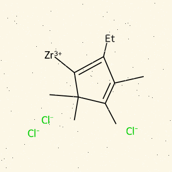 CCC1=[C]([Zr+3])C(C)(C)C(C)=C1C.[Cl-].[Cl-].[Cl-]